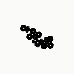 OC(=S)/C(=N\OC(c1ccccc1)(c1ccccc1)c1cccc(-c2nc3ccccc3s2)c1)c1nc(NC(c2ccccc2)(c2ccccc2)c2ccccc2)sc1Cl